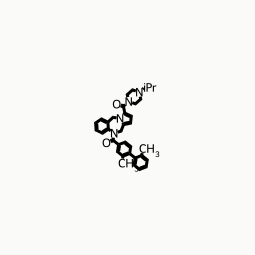 Cc1ccccc1-c1ccc(C(=O)N2Cc3ccc(C(=O)N4CCN(C(C)C)CC4)n3Cc3ccccc32)cc1C